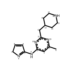 Cc1cc(NC2=NCC=C2)nc(CC2CCNCC2)n1